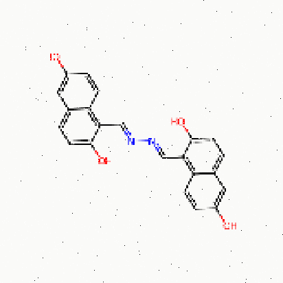 Oc1ccc2c(C=NN=Cc3c(O)ccc4cc(O)ccc34)c(O)ccc2c1